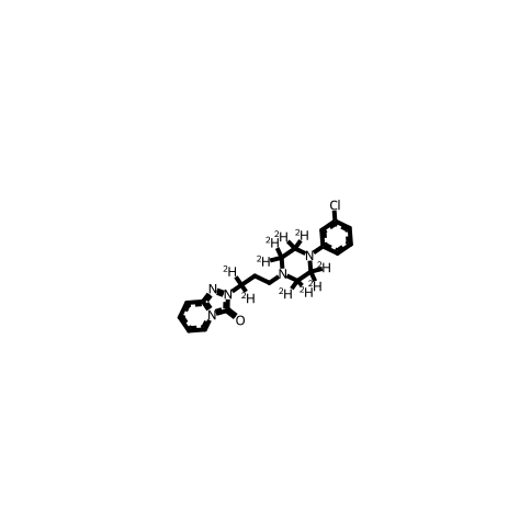 [2H]C([2H])(CCN1C([2H])([2H])C([2H])([2H])N(c2cccc(Cl)c2)C([2H])([2H])C1([2H])[2H])n1nc2ccccn2c1=O